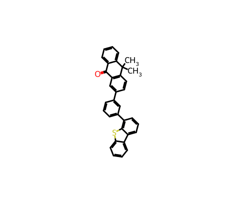 CC1(C)c2ccccc2C(=O)c2cc(-c3cccc(-c4cccc5c4sc4ccccc45)c3)ccc21